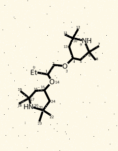 CCC(COC1CC(C)(C)NC(C)(C)C1)OC1CC(C)(C)NC(C)(C)C1